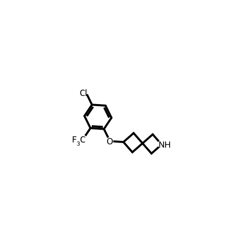 FC(F)(F)c1cc(Cl)ccc1OC1CC2(CNC2)C1